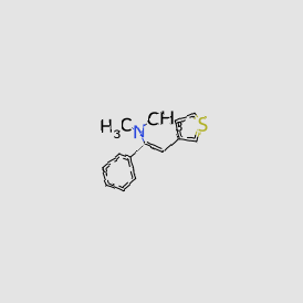 CN(C)C(=Cc1ccsc1)c1ccccc1